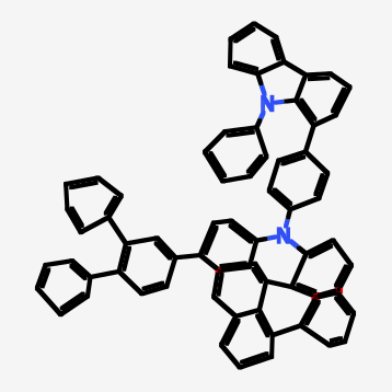 c1ccc(-c2ccc(-c3ccc(N(c4ccc(-c5cccc6c7ccccc7n(-c7ccccc7)c56)cc4)c4ccccc4-c4cccc5cccc(-c6ccccc6)c45)cc3)cc2-c2ccccc2)cc1